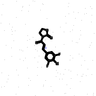 O=C(/C=C/c1cc(F)c(Cl)c(F)c1)N1CCOC1=O